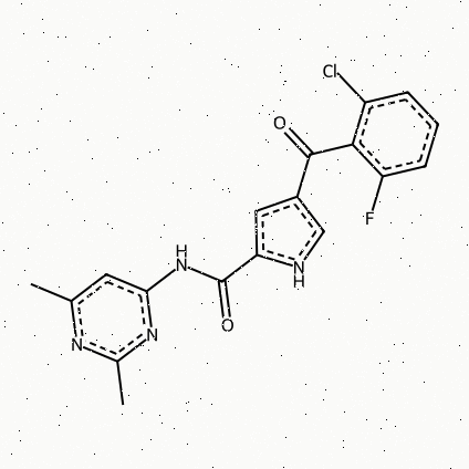 Cc1cc(NC(=O)c2cc(C(=O)c3c(F)cccc3Cl)c[nH]2)nc(C)n1